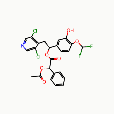 CC(=O)O[C@H](C(=O)O[C@@H](Cc1c(Cl)cncc1Cl)c1ccc(OC(F)F)c(O)c1)c1ccccc1